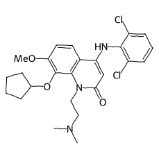 COc1ccc2c(Nc3c(Cl)cccc3Cl)cc(=O)n(CCN(C)C)c2c1OC1CCCC1